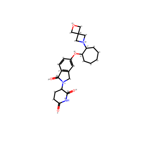 O=C1CCC(N2Cc3cc(OC4CCCCCC4N4CC5(COC5)C4)ccc3C2=O)C(=O)N1